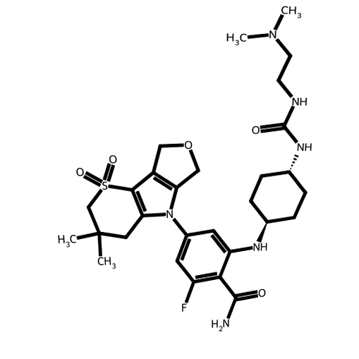 CN(C)CCNC(=O)N[C@H]1CC[C@H](Nc2cc(-n3c4c(c5c3CC(C)(C)CS5(=O)=O)COC4)cc(F)c2C(N)=O)CC1